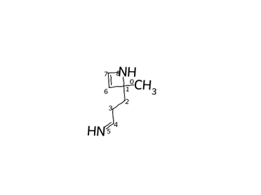 CC1(CCC=N)C=CN1